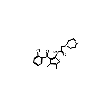 Cc1sc(NC(=O)CN2CCOCC2)c(C(=O)c2ccccc2Cl)c1C